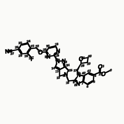 COC(=O)c1ccc2nc(CN3Cc4cn(-c5nccc(OCc6ccc(C#N)cc6F)n5)nc4C3)n(C[C@@H]3CCO3)c2c1